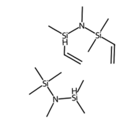 C=C[SiH](C)N(C)[Si](C)(C)C=C.CN([SiH](C)C)[Si](C)(C)C